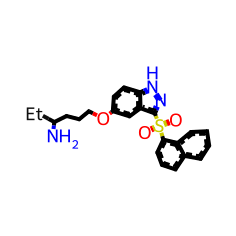 CCC(N)CCCOc1ccc2[nH]nc(S(=O)(=O)c3cccc4ccccc34)c2c1